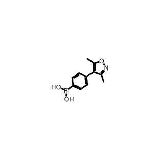 Cc1noc(C)c1-c1ccc(B(O)O)cc1